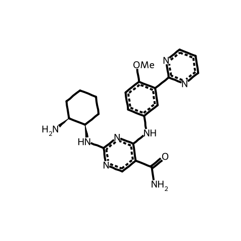 COc1ccc(Nc2nc(N[C@@H]3CCCC[C@@H]3N)ncc2C(N)=O)cc1-c1ncccn1